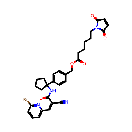 N#CC(=Cc1cccc(Br)n1)C(=O)NC1(c2ccc(COC(=O)CCCCCN3C(=O)C=CC3=O)cc2)CCCC1